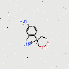 Cc1cc(N)ccc1C1(C#N)CCOOC1